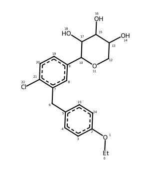 CCOc1ccc(Cc2cc(C3OCC(O)C(O)C3O)ccc2Cl)cc1